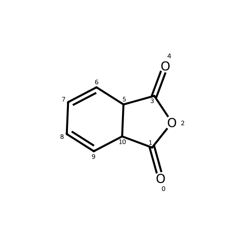 O=C1OC(=O)C2C=CC=CC12